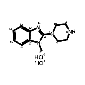 Cl.Cl.Cn1c(N2CCNCC2)nc2ccccc21